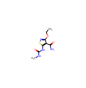 CCOc1nsc(NC(=O)NC)c1C(N)=O